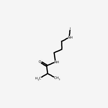 CC(C)C(=O)NCCCNI